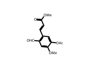 COC(=O)/C=C/c1cc(OC(C)=O)c(OC)cc1C=O